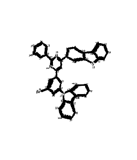 Brc1cc(-c2cc(-c3ccc4c(c3)sc3ccccc34)nc(-c3ccccc3)n2)cc(-n2c3ccccc3c3ccccc32)c1